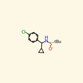 CC(C)(C)[S+]([O-])NC(c1ccc(Cl)cc1)C1CC1